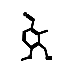 COc1ccc(C=O)c(C)c1CO